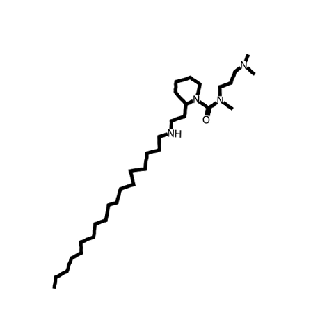 CCCCCCCCCCCCCCCCCCNCCC1CCCCN1C(=O)N(C)CCCN(C)C